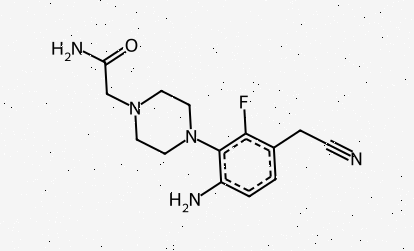 N#CCc1ccc(N)c(N2CCN(CC(N)=O)CC2)c1F